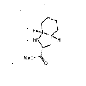 COC(=O)[C@H]1C[C@H]2CCCC[C@H]2N1